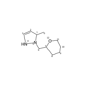 CC1C=CNN1CC1CCCCO1